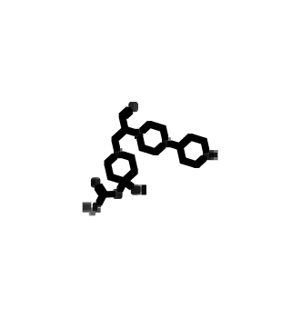 CC(=O)OC1(O)CCN(CC(C=O)N2CCN(C3CCNCC3)CC2)CC1